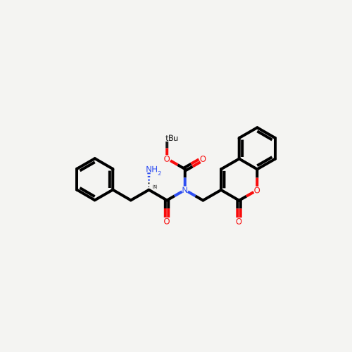 CC(C)(C)OC(=O)N(Cc1cc2ccccc2oc1=O)C(=O)[C@@H](N)Cc1ccccc1